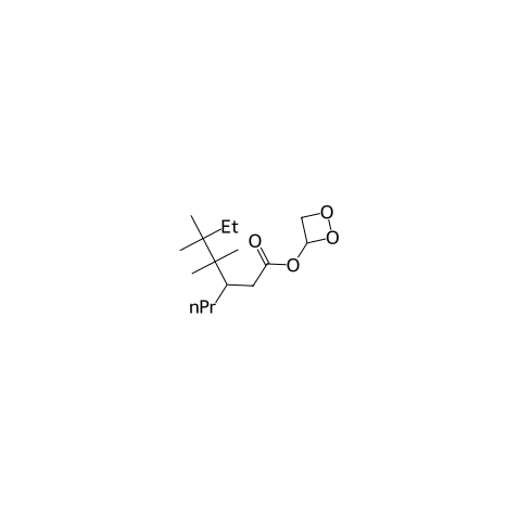 CCCC(CC(=O)OC1COO1)C(C)(C)C(C)(C)CC